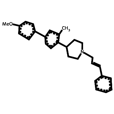 COc1ccc(-c2ccc(C3CCN(C/C=C/c4ccccc4)CC3)c(C)c2)cc1